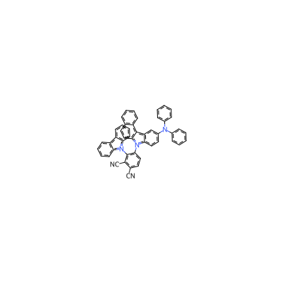 N#Cc1ccc(-n2c3ccc(N(c4ccccc4)c4ccccc4)cc3c3c4ccccc4ccc32)c(-n2c3ccccc3c3ccccc32)c1C#N